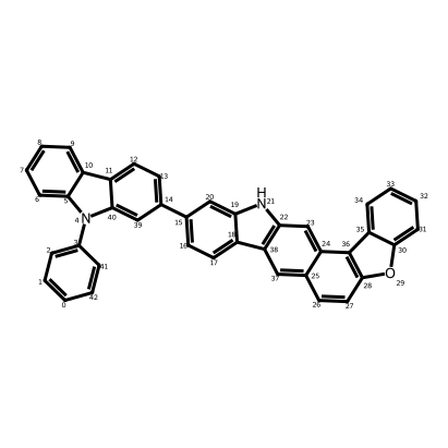 c1ccc(-n2c3ccccc3c3ccc(-c4ccc5c(c4)[nH]c4cc6c(ccc7oc8ccccc8c76)cc45)cc32)cc1